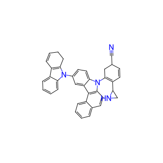 N#CC1C=CC(C2CN2)=C(n2c3ccc(-n4c5c(c6ccccc64)C=CCC5)cc3c3c4ccccc4ccc32)C1